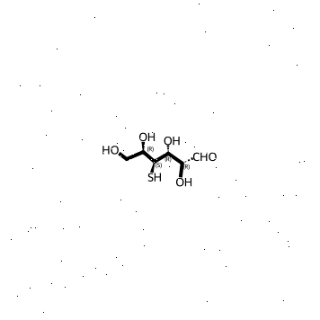 O=C[C@H](O)[C@@H](O)[C@@H](S)[C@H](O)CO